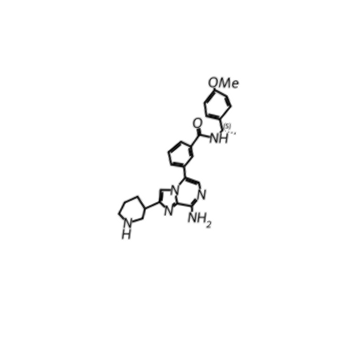 COc1ccc([C@H](C)NC(=O)c2cccc(-c3cnc(N)c4nc(C5CCCNC5)cn34)c2)cc1